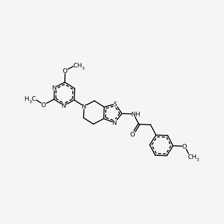 COc1cccc(CC(=O)Nc2nc3c(s2)CN(c2cc(OC)nc(OC)n2)CC3)c1